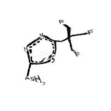 FC(F)(F)c1nnc([AsH2])s1